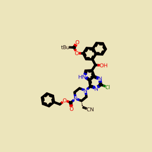 CC(C)(C)C(=O)Oc1cc(C(O)c2c[nH]c3c(N4CCN(C(=O)OCc5ccccc5)[C@@H](CC#N)C4)nc(Cl)nc23)c2ccccc2c1